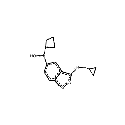 OB(c1ccc2onc(NC3CC3)c2c1)C1CCC1